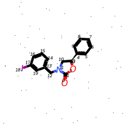 O=C1O[C@H](c2ccccc2)CN1Cc1cccc(I)c1